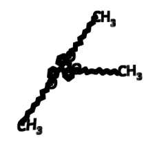 CCCCCCCCCCCCOc1cccc(C2c3cccc(OCCCCCCCCCCCC)c3Cc3c(OCCCCCCCCCCCC)cccc32)c1